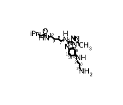 Cc1nnc2c(NCCCCNC(=O)CC(C)C)nc3ccc(NCCCN)cc3n12